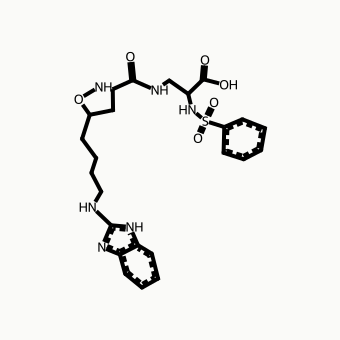 O=C(O)C(CNC(=O)C1CC(CCCCNc2nc3ccccc3[nH]2)ON1)NS(=O)(=O)c1ccccc1